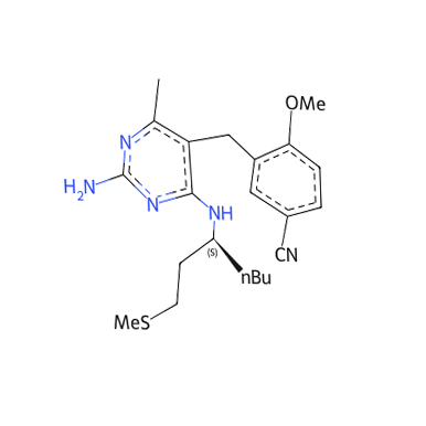 CCCC[C@@H](CCSC)Nc1nc(N)nc(C)c1Cc1cc(C#N)ccc1OC